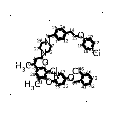 CC(=CC(=O)N1CCN(Cc2ccc(CCOc3ccc(Cl)cc3)cc2)CC1)c1cc(C)c(Oc2ccc(OCc3ccccc3Cl)cn2)c(Cl)c1